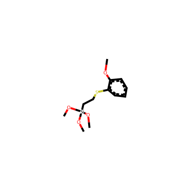 COc1ccccc1SCC[Si](OC)(OC)OC